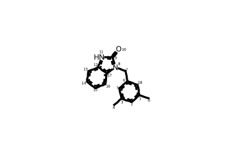 Cc1cc(C)cc(Cn2c(=O)[nH]c3ccccc32)c1